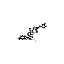 C=CC(c1cc2ccc(Cl)cc2s1)S(=O)(=O)N1CCN(CC(=O)NCCc2ccncc2)C(=O)C1